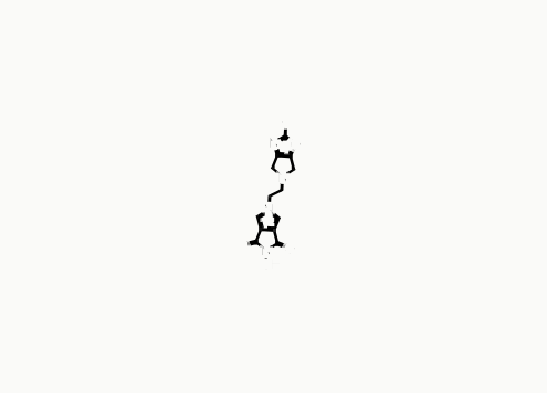 Cc1nc2c(o1)CN(CCn1cc3c(c1)C(=O)N(C)C3=O)C2